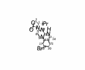 CC(C)[C@H]1COC(=O)N1c1ccnc(N[C@H](C)c2ccc(Br)cc2)n1